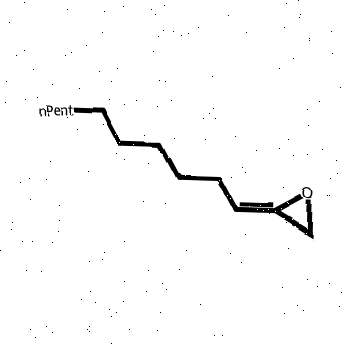 CCCCCCCCCCC=C1CO1